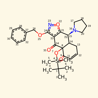 CC(C)(C)[Si](C)(C)OC12C(=O)C=CCC1[C@H](N1CCCC1)c1onc(OCc3ccccc3)c1C2=O